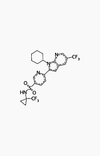 O=S(=O)(NC1(C(F)(F)F)CC1)c1ccc(-c2cc3cc(C(F)(F)F)cnc3n2C2CCCCC2)nc1